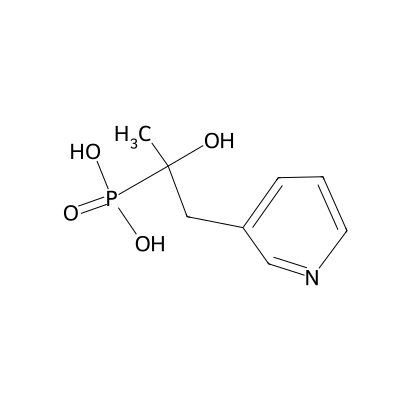 CC(O)(Cc1cccnc1)P(=O)(O)O